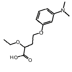 CCOC(CCOc1cccc(N(C)C)c1)C(=O)O